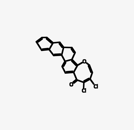 O=C1C(Cl)=C(Cl)C=COc2c1ccc1c2ccc2cc3ccccc3cc21